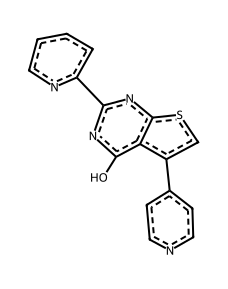 Oc1nc(-c2ccccn2)nc2scc(-c3ccncc3)c12